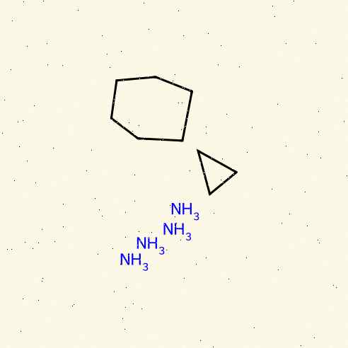 C1CC1.C1CCCCC1.N.N.N.N